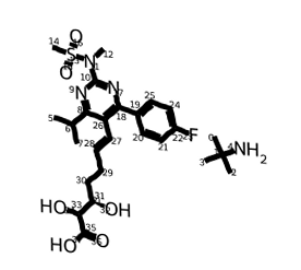 CC(C)(C)N.CC(C)c1nc(N(C)S(C)(=O)=O)nc(-c2ccc(F)cc2)c1C=CCC[C@@H](O)C(O)C(=O)O